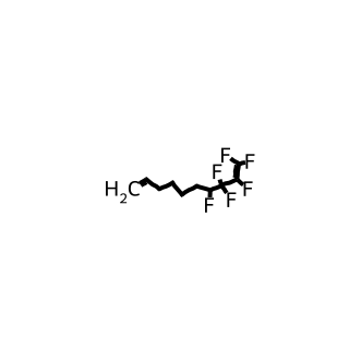 C=CCCCCC(F)C(F)(F)C(F)=C(F)F